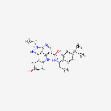 CCC(NC(=O)c1cnc2c(cnn2CC)c1NC1CCC(=O)CC1)c1ccc(C(C)C)cc1